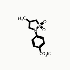 CCOC(=O)c1ccc(N2CC(C)CS2(=O)=O)cc1